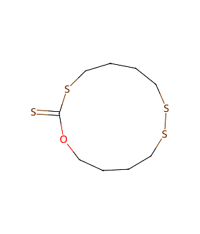 S=C1OCCCCSSCCCCS1